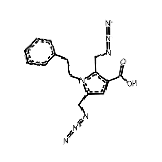 [N-]=[N+]=NCc1cc(C(=O)O)c(CN=[N+]=[N-])n1CCc1ccccc1